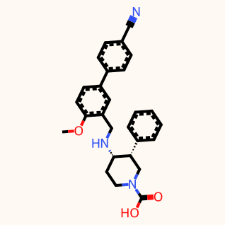 COc1ccc(-c2ccc(C#N)cc2)cc1CN[C@H]1CCN(C(=O)O)C[C@H]1c1ccccc1